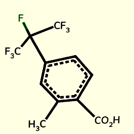 Cc1cc(C(F)(C(F)(F)F)C(F)(F)F)ccc1C(=O)O